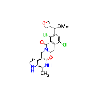 COC(c1cc(Cl)c2c(c1Cl)C(=O)N(Cc1c(=O)[nH]c(C)c3[nH]ccc13)CC2)C1COC1